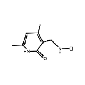 Cc1cc(C)c(CNCl)c(=O)[nH]1